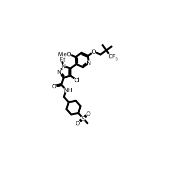 CCn1nc(C(=O)NCC2CCC(S(C)(=O)=O)CC2)c(Cl)c1-c1cnc(OCC(C)(C)C(F)(F)F)cc1OC